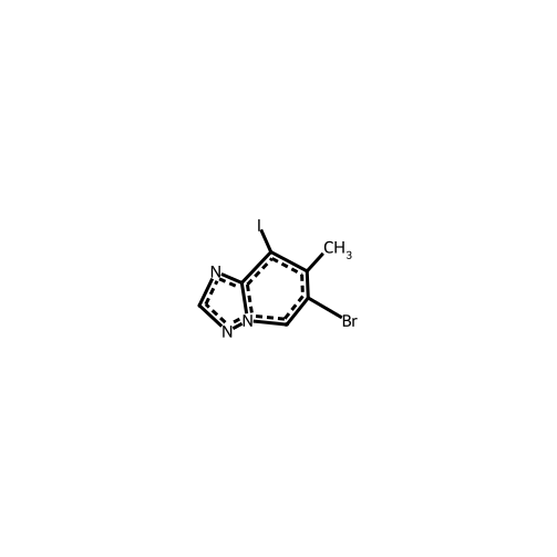 Cc1c(Br)cn2ncnc2c1I